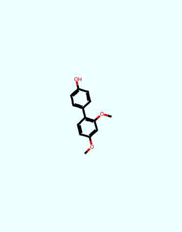 COc1ccc(-c2ccc(O)cc2)c(OC)c1